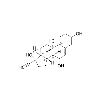 C#CC1(O)CC[C@H]2[C@@H]3C(O)C=C4CC(O)CC[C@]4(C)[C@H]3CC[C@@]21C